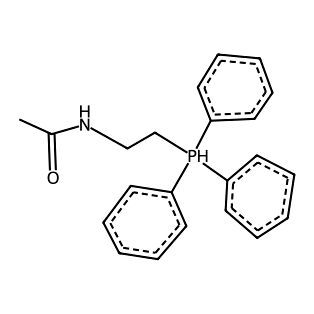 CC(=O)NCC[PH](c1ccccc1)(c1ccccc1)c1ccccc1